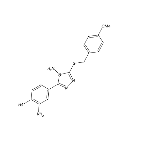 COc1ccc(CSc2nnc(-c3ccc(S)c(N)c3)n2N)cc1